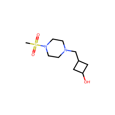 CS(=O)(=O)N1CCN(CC2CC(O)C2)CC1